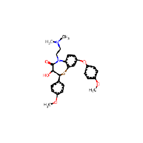 COc1ccc(Oc2ccc3c(c2)SC(c2ccc(OC)cc2)C(O)C(=O)N3CCN(C)C)cc1